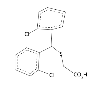 O=C(O)CSC(c1ccccc1Cl)c1ccccc1Cl